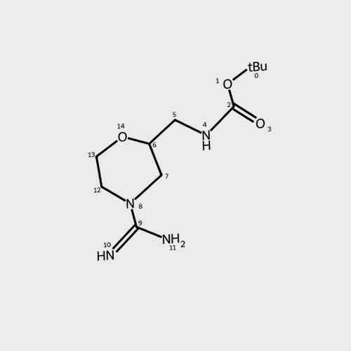 CC(C)(C)OC(=O)NCC1CN(C(=N)N)CCO1